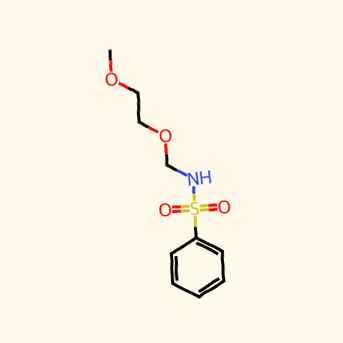 COCCOCNS(=O)(=O)c1ccccc1